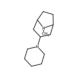 CN1C2CCC1CC(N1CCCCC1)C2